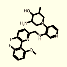 COc1cccc(F)c1-c1nc(CNc2cnccc2N2CC(C)C(O)C(N)C2)ccc1F